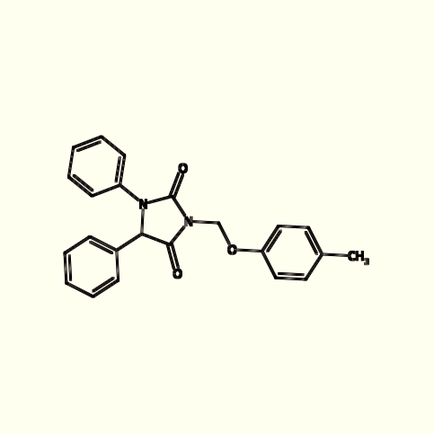 Cc1ccc(OCN2C(=O)C(c3ccccc3)N(c3ccccc3)C2=O)cc1